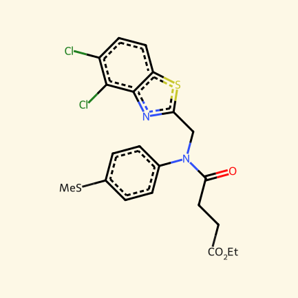 CCOC(=O)CCC(=O)N(Cc1nc2c(Cl)c(Cl)ccc2s1)c1ccc(SC)cc1